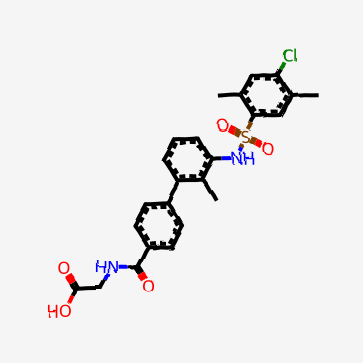 Cc1cc(S(=O)(=O)Nc2cccc(-c3ccc(C(=O)NCC(=O)O)cc3)c2C)c(C)cc1Cl